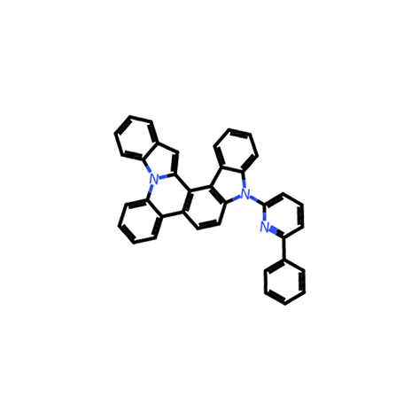 c1ccc(-c2cccc(-n3c4ccccc4c4c5c(ccc43)c3ccccc3n3c4ccccc4cc53)n2)cc1